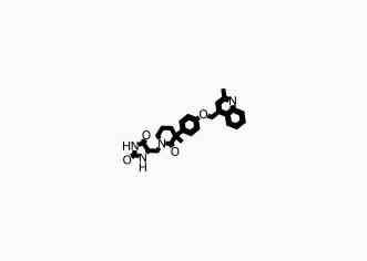 Cc1cc(COc2ccc(C3(C)CCCN(CC4NC(=O)NC4=O)C3=O)cc2)c2ccccc2n1